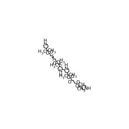 CC(C)(OC(=O)CCC(=O)C(=O)OC(C)(C)C1CCNC(C2CC(C(C)(C)OC(=O)CSSCC(=O)OC(C)(C)C3CCNCC3)CCN2)C1)C1CCNCC1